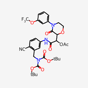 CC(=O)OC(C(=O)Nc1ccc(C#N)c(CN(C(=O)OC(C)(C)C)C(=O)OC(C)(C)C)c1)C1OCCN(c2cccc(OC(F)(F)F)c2)C1=O